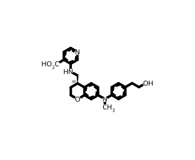 CN(c1ccc(CCO)cc1)c1ccc2c(c1)OCC[C@H]2CNc1cnccc1C(=O)O